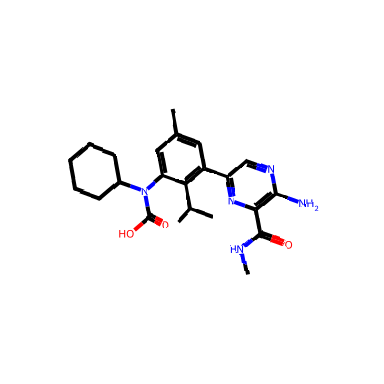 CNC(=O)c1nc(-c2cc(C)cc(N(C(=O)O)C3CCCCC3)c2C(C)C)cnc1N